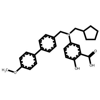 COc1ccc(-c2ccc(CN(CC3CCCC3)c3ccc(O)c(C(=O)O)c3)cc2)cc1